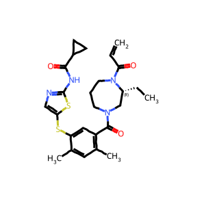 C=CC(=O)N1CCCN(C(=O)c2cc(Sc3cnc(NC(=O)C4CC4)s3)c(C)cc2C)C[C@H]1CC